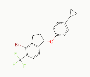 FC(F)(F)c1ccc2c(c1Br)CCC2Oc1ccc(C2CC2)cc1